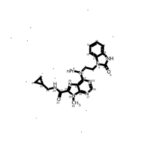 CCCN(CCn1c(=O)[nH]c2ccccc21)c1ncnc2c1nc(C(=O)NCC1CC1)n2C